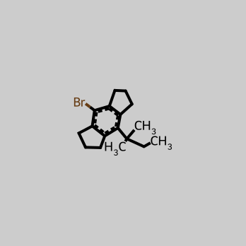 CCC(C)(C)c1c2c(c(Br)c3c1CCC3)CCC2